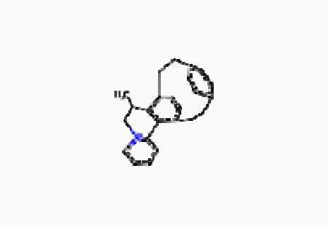 CC1C[n+]2ccccc2-c2c3ccc(c21)CCc1ccc(cc1)CC3